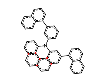 c1ccc(-c2ccccc2N(c2cccc(-c3cccc4ccccc34)c2)c2cc(-c3cccc4ccccc34)ccc2-c2ccccc2)cc1